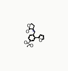 CS(=O)(=O)c1ccc(/C=C2/CCOC2=O)c(-c2ccco2)c1